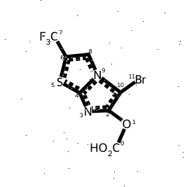 O=C(O)Oc1nc2sc(C(F)(F)F)cn2c1Br